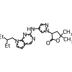 CCC(CC)Cn1ccc2cnc(Nc3cnn(C4CC(C)(C)OC4=O)c3)nc21